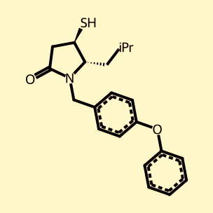 CC(C)C[C@H]1[C@H](S)CC(=O)N1Cc1ccc(Oc2ccccc2)cc1